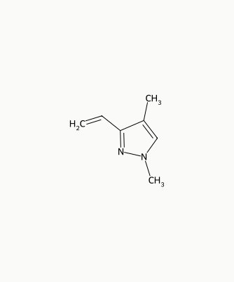 C=Cc1nn(C)cc1C